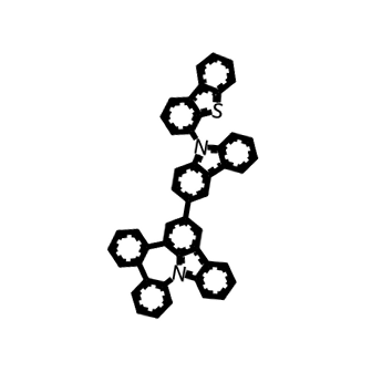 c1ccc2c(c1)-c1ccccc1-n1c3ccccc3c3cc(-c4ccc5c(c4)c4ccccc4n5-c4cccc5c4sc4ccccc45)cc-2c31